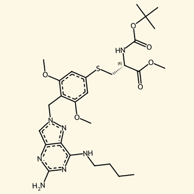 CCCCNc1nc(N)nc2cn(Cc3c(OC)cc(SC[C@H](NC(=O)OC(C)(C)C)C(=O)OC)cc3OC)nc12